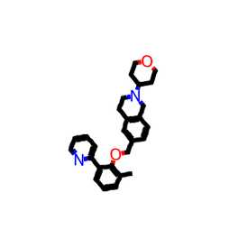 Cc1cccc(-c2ccccn2)c1OCc1ccc2c(c1)CCN(C1CCOCC1)C2